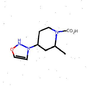 CC1CC(N2C=CON2)CCN1C(=O)O